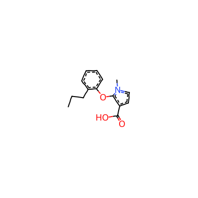 CCCc1ccccc1Oc1c(C(=O)O)ccn1C